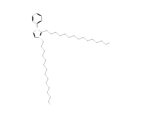 CCCCCCCCCCCCCCCc1n(-c2ccccc2)cc[n+]1CCCCCCCCCCCCCCC